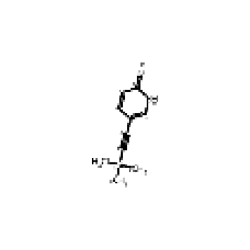 C[Si](C)(C)C#Cc1ccc(=O)[nH]c1